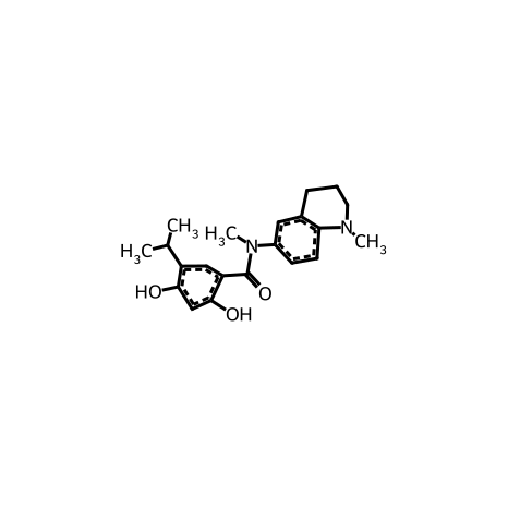 CC(C)c1cc(C(=O)N(C)c2ccc3c(c2)CCCN3C)c(O)cc1O